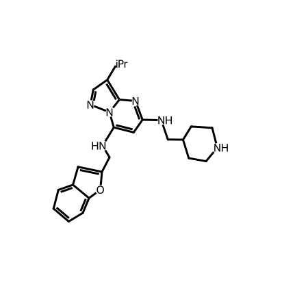 CC(C)c1cnn2c(NCc3cc4ccccc4o3)cc(NCC3CCNCC3)nc12